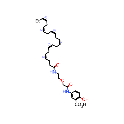 CC/C=C\C/C=C\C/C=C\C/C=C\C/C=C\C/C=C\CCC(=O)NCCOCC(=O)Nc1ccc(O)c(C(=O)O)c1